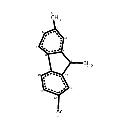 BC1c2cc(C)ccc2-c2ccc(C(C)=O)cc21